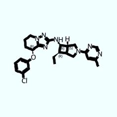 CC[C@@H]1C2CN(c3cc(C)ncn3)C[C@H]2[C@@H]1Nc1nc2n(n1)CCC[C@H]2Oc1cccc(Cl)c1